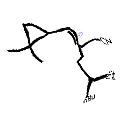 CCCCC(CC)C/C(C#N)=C\C1CC1(C)C